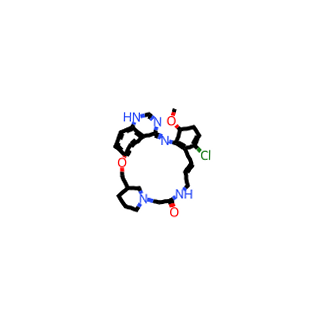 COC1CC=C(Cl)C2=C1/N=C1\N=CNc3ccc(cc31)OCC1CCCN(CC(=O)NC/C=C/2)C1